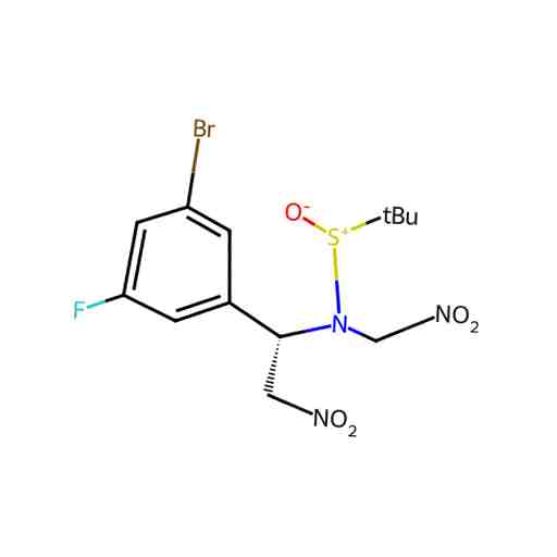 CC(C)(C)[S+]([O-])N(C[N+](=O)[O-])[C@H](C[N+](=O)[O-])c1cc(F)cc(Br)c1